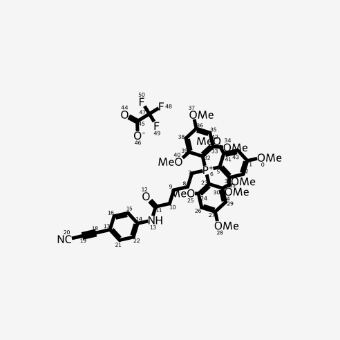 COc1cc(OC)c([P+](CCCCC(=O)Nc2ccc(C#CC#N)cc2)(c2c(OC)cc(OC)cc2OC)c2c(OC)cc(OC)cc2OC)c(OC)c1.O=C([O-])C(F)(F)F